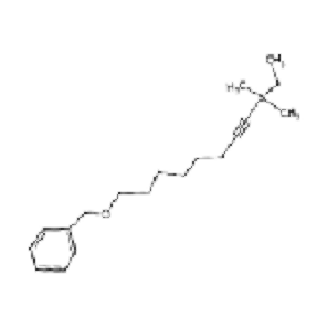 CCS(C)(C)C#CCCCCCCOCc1ccccc1